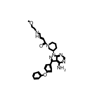 COCCNC/C=C/C(=O)N1CCC[C@@H](n2nc(-c3ccc(Oc4ccccc4)cc3)c3c(N)ncnc32)C1